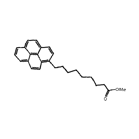 COC(=O)CCCCCCCCc1ccc2ccc3cccc4ccc1c2c34